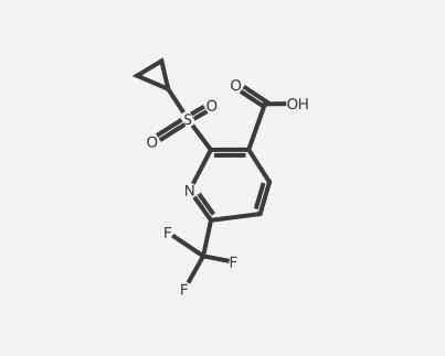 O=C(O)c1ccc(C(F)(F)F)nc1S(=O)(=O)C1CC1